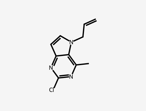 C=CCn1ccc2nc(Cl)nc(C)c21